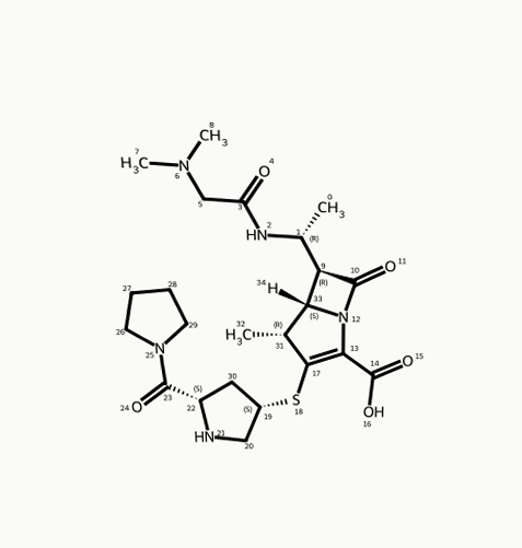 C[C@@H](NC(=O)CN(C)C)[C@H]1C(=O)N2C(C(=O)O)=C(S[C@@H]3CN[C@H](C(=O)N4CCCC4)C3)[C@H](C)[C@H]12